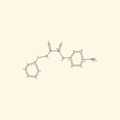 O=C(OCc1ccccc1)[N+](=O)Oc1ccc([N+](=O)[O-])cc1